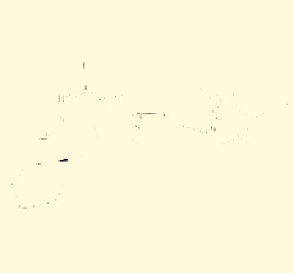 Cc1nn(C2CC3CNCC[C@H]32)c(C)c1CC(=O)NCc1ccc(F)cc1Cl